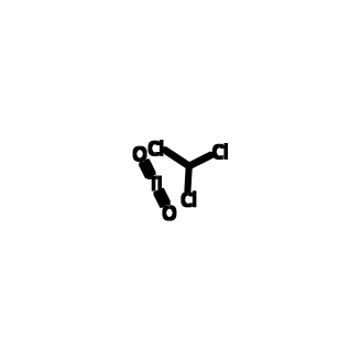 ClC(Cl)Cl.[O]=[Ti]=[O]